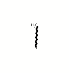 C=CCCCCCCCC=CI